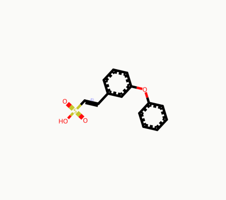 O=S(=O)(O)/C=C/c1cccc(Oc2ccccc2)c1